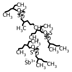 CCCCC(CC)COP(=S)([S-])OCC(CC)CCCC.CCCCC(CC)COP(=S)([S-])OCC(CC)CCCC.CCCCC(CC)COP(=S)([S-])OCC(CC)CCCC.[Sb+3]